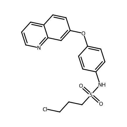 O=S(=O)(CCCCl)Nc1ccc(Oc2ccc3cccnc3c2)cc1